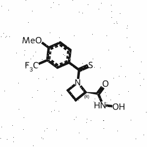 COc1ccc(C(=S)N2CC[C@@H]2C(=O)NO)cc1C(F)(F)F